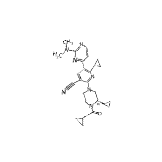 CN(C)c1nccc(-c2cc(C#N)c(N3CCN(C(=O)C4CC4)[C@H](C4CC4)C3)nc2C2CC2)n1